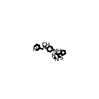 CN(Cc1cccnc1)[C@H]1CC[C@H](Nc2ncnc3sc4c(c23)CCC4)CC1